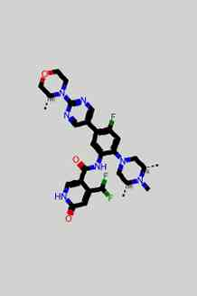 C[C@@H]1COCCN1c1ncc(-c2cc(NC(=O)c3c[nH]c(=O)cc3C(F)F)c(N3C[C@@H](C)N(C)[C@@H](C)C3)cc2F)cn1